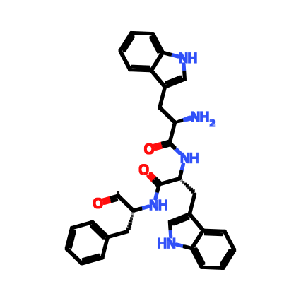 N[C@H](Cc1c[nH]c2ccccc12)C(=O)N[C@H](Cc1c[nH]c2ccccc12)C(=O)N[C@@H]([C]=O)Cc1ccccc1